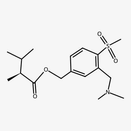 CC(C)[C@H](C)C(=O)OCc1ccc(S(C)(=O)=O)c(CN(C)C)c1